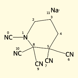 N#CN1CCCC(C#N)(C#N)C1(C#N)C#N.[Na]